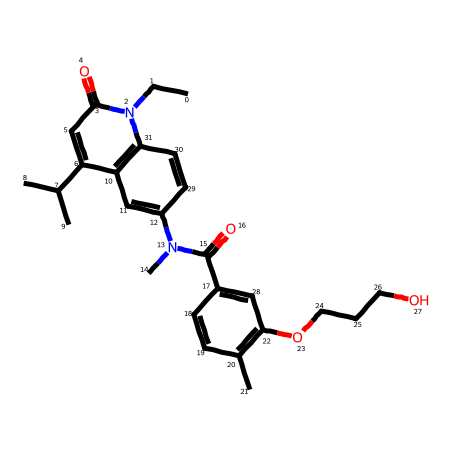 CCn1c(=O)cc(C(C)C)c2cc(N(C)C(=O)c3ccc(C)c(OCCCO)c3)ccc21